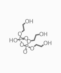 O=P(O)(OCCO)OP(=O)(OCCO)OCCO